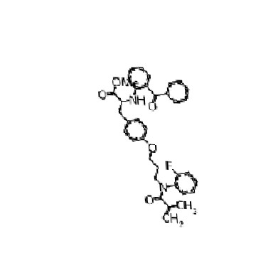 C=C(C)C(=O)N(CCCOc1ccc(CC(Nc2ccccc2C(=O)c2ccccc2)C(=O)OC)cc1)c1ccccc1F